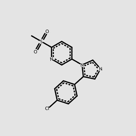 CS(=O)(=O)c1ccc(-n2cncc2-c2ccc(Cl)cc2)cn1